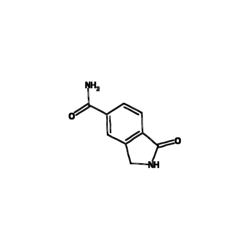 NC(=O)c1ccc2c(c1)CNC2=O